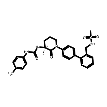 C[C@]1(NC(=O)Nc2ccc(C(F)(F)F)cc2)CCCN(c2ccc(-c3ccccc3CNS(C)(=O)=O)cc2)C1=O